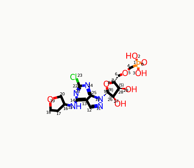 O=P(O)(O)COC[C@H]1O[C@@H](n2ncc3c(NC4CCOC4)nc(Cl)nc32)[C@H](O)[C@@H]1O